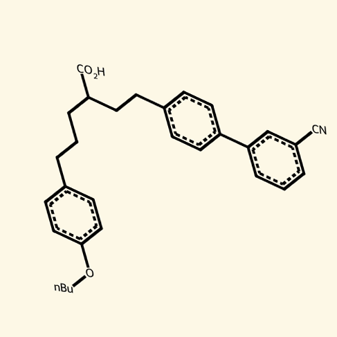 CCCCOc1ccc(CCCC(CCc2ccc(-c3cccc(C#N)c3)cc2)C(=O)O)cc1